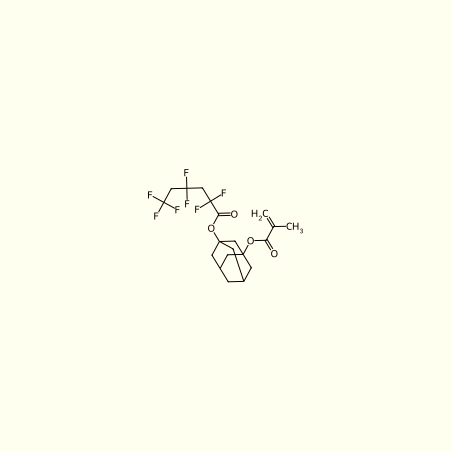 C=C(C)C(=O)OC12CC3CC(C1)CC(OC(=O)C(F)(F)CC(F)(F)CC(F)(F)F)(C3)C2